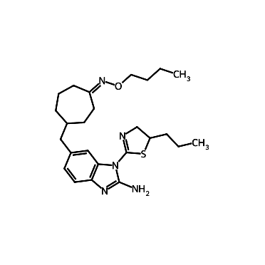 CCCCON=C1CCCC(Cc2ccc3nc(N)n(C4=NCC(CCC)S4)c3c2)CC1